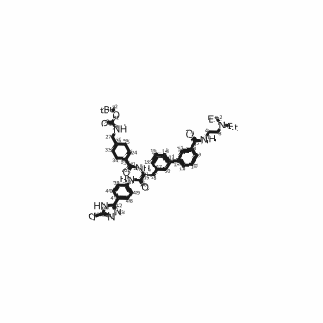 CCN(CC)CCNC(=O)c1cccc(-c2cccc(C[C@H](NC(=O)C3CCC(CNC(=O)OC(C)(C)C)CC3)C(=O)Nc3ccc(-c4nnc(Cl)[nH]4)cc3)c2)c1